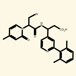 Cc1ccn(C(CC(C)C)C(=O)NC(CC(=O)O)c2ccnc(-c3c(C)cccc3C)c2)c(=O)c1